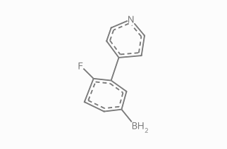 Bc1ccc(F)c(-c2ccncc2)c1